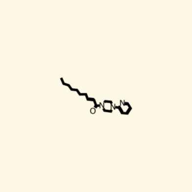 CCCCCCC/C=C/C(=O)N1CCN(c2ccccn2)CC1